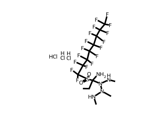 CCC(N)(N(NC)N(C)NC)S(=O)(=O)C(F)(F)C(F)(F)C(F)(F)C(F)(F)C(F)(F)C(F)(F)C(F)(F)C(F)(F)F.Cl.Cl.Cl